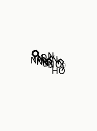 Nc1ccccc1N(N)Oc1ncnc2c1ncn2[C@H]1CC[C@@H](CO)O1